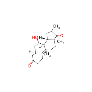 CC1C[C@H]2[C@@H]3[C@H](O)C[C@@H]4CC(=O)CC[C@]4(C)[C@H]3CC[C@]2(C)C1=O